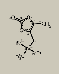 Cc1oc(=O)oc1C[N+](C)(C(C)C)C(C)C